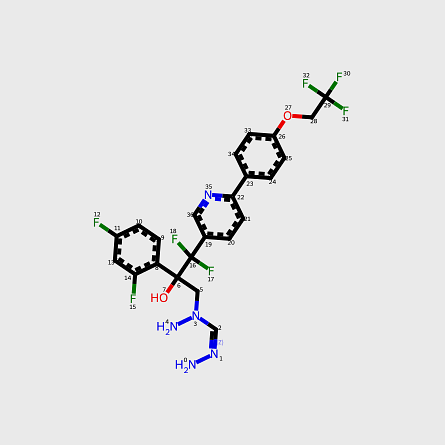 N/N=C\N(N)CC(O)(c1ccc(F)cc1F)C(F)(F)c1ccc(-c2ccc(OCC(F)(F)F)cc2)nc1